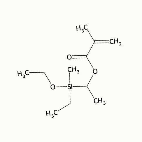 C=C(C)C(=O)OC(C)[Si](C)(CC)OCC